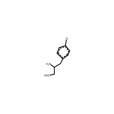 NC(CC=O)Cc1ccc(Cl)cc1